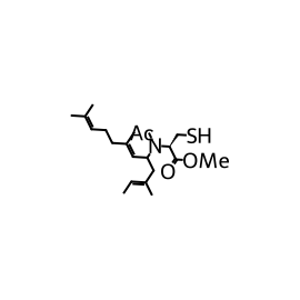 CC=C(C)CC(C=C(C)CCC=C(C)C)N(C(C)=O)[C@@H](CS)C(=O)OC